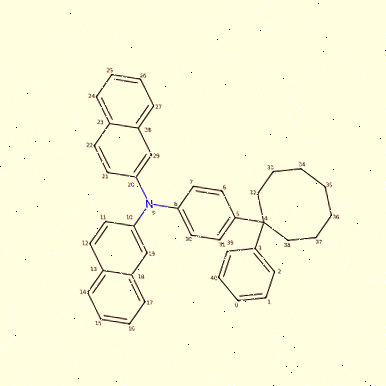 c1ccc(C2(c3ccc(N(c4ccc5ccccc5c4)c4ccc5ccccc5c4)cc3)CCCCCCC2)cc1